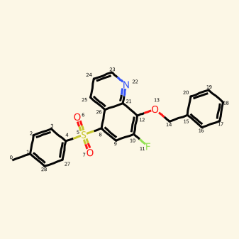 Cc1ccc(S(=O)(=O)c2cc(F)c(OCc3ccccc3)c3ncccc23)cc1